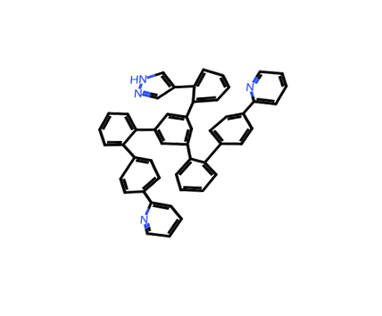 c1ccc(-c2ccc(-c3ccccc3-c3cc(-c4ccccc4-c4ccc(-c5ccccn5)cc4)cc(-c4ccccc4-c4cn[nH]c4)c3)cc2)nc1